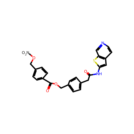 O=C(Cc1ccc(COC(=O)c2ccc(CO[N+](=O)[O-])cc2)cc1)Nc1cc2ccncc2s1